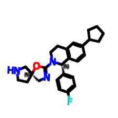 Fc1ccc([C@H]2c3ccc(C4CCCC4)cc3CCN2C2=NC[C@@]3(CCNC3)O2)cc1